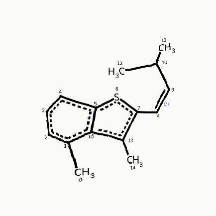 Cc1cccc2sc(/C=C\C(C)C)c(C)c12